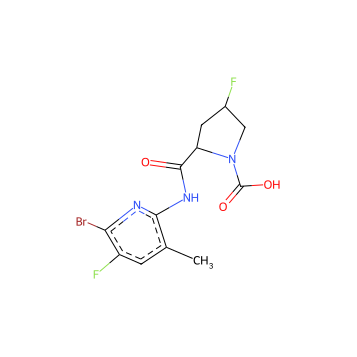 Cc1cc(F)c(Br)nc1NC(=O)C1CC(F)CN1C(=O)O